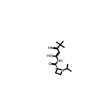 CC(C)N1CC[C@H]1C(=O)N/C(O)=C/C(=N)C(C)(C)C